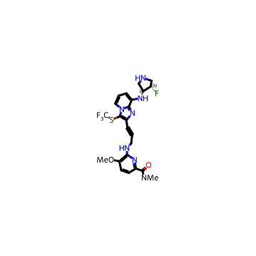 CNC(=O)c1ccc(OC)c(NCC#Cc2nc3c(N[C@@H]4CNC[C@@H]4F)cccn3c2SC(F)(F)F)n1